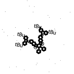 CC(C)(C)c1ccc2c(c1)c1cc(C(C)(C)C)ccc1n2-c1ccc2cc3c(cc2c1)oc1c(-c2ccccc2)c(-c2ccccc2)c2oc4cc5cc(-n6c7ccc(C(C)(C)C)cc7c7cc(C(C)(C)C)ccc76)ccc5cc4c2c13